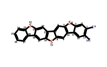 Ic1cc2sc3cc4c(cc3c2cc1I)sc1cc2c(cc14)sc1ccccc12